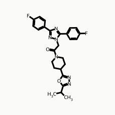 CC(C)c1nnc(C2CCN(C(=O)Cn3nc(-c4ccc(F)cc4)nc3-c3ccc(F)cc3)CC2)o1